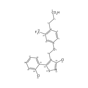 O=C(O)CCc1ccc(OCc2c(Cl)nsc2-c2ccccc2Cl)cc1C(F)(F)F